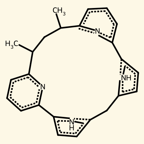 CC1CC(C)c2cccc(n2)-c2ccc([nH]2)Cc2ccc([nH]2)-c2cccc1n2